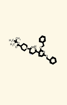 CC(C)(C)OC(=O)C1CCN(C(=N)/C=C\C(=N)c2ccc(OCc3ccccc3)nc2OCc2ccccc2)CC1